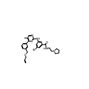 C=CCOCc1cccc(-c2nc(Nc3cc(Br)cc(C(=O)NCCN4CCCC4)c3)ncc2C)c1